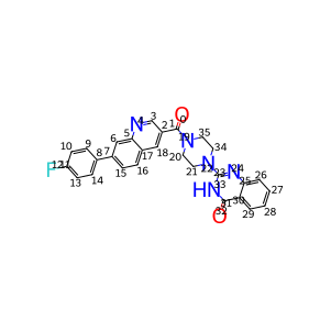 O=C(c1cnc2cc(-c3ccc(F)cc3)ccc2c1)N1CCN(c2nc3ccccc3c(=O)[nH]2)CC1